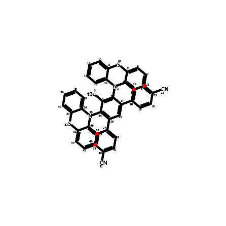 CC(C)(C)c1c(N2c3ccccc3Sc3ccccc32)c(-c2ccc(C#N)cc2)cc(-c2ccc(C#N)cc2)c1N1c2ccccc2Sc2ccccc21